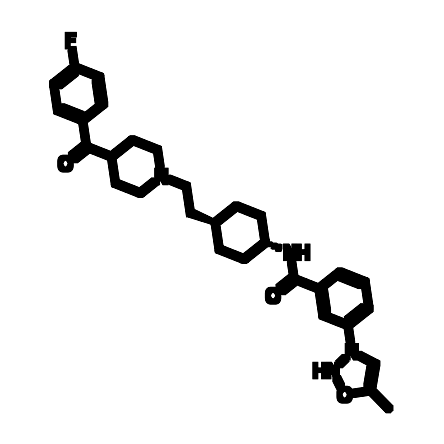 CC1=CN(c2cccc(C(=O)N[C@H]3CC[C@H](CCN4CCC(C(=O)c5ccc(F)cc5)CC4)CC3)c2)NO1